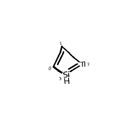 C1=[CH][Tl]=[SiH]1